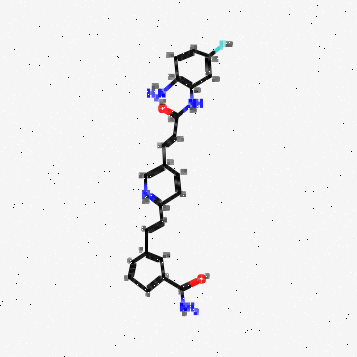 NC(=O)c1cccc(/C=C/c2ccc(/C=C/C(=O)Nc3cc(F)ccc3N)cn2)c1